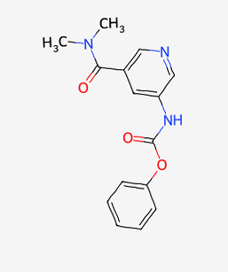 CN(C)C(=O)c1cncc(NC(=O)Oc2ccccc2)c1